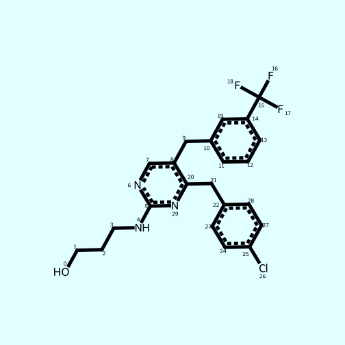 OCCCNc1ncc(Cc2cccc(C(F)(F)F)c2)c(Cc2ccc(Cl)cc2)n1